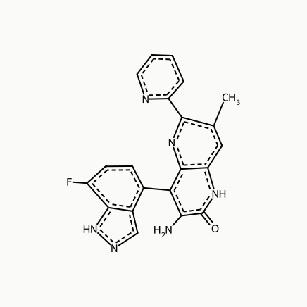 Cc1cc2[nH]c(=O)c(N)c(-c3ccc(F)c4[nH]ncc34)c2nc1-c1ccccn1